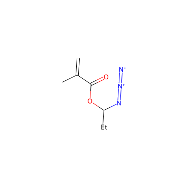 C=C(C)C(=O)OC(CC)N=[N+]=[N-]